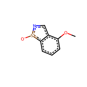 COc1cccc2c1cn[s+]2[O-]